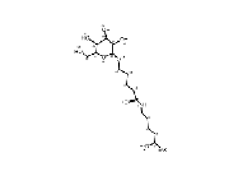 CC(=O)C(N)CCCCNC(=O)CCCCOC1OC(CO)C(O)C(O)C1O